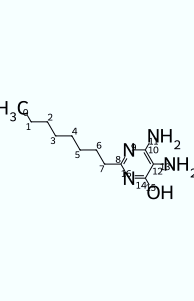 CCCCCCCCc1nc(N)c(N)c(O)n1